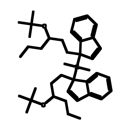 CCCC(CCC1([Si](C)(C)C2(CCC(CCC)OC(C)(C)C)C=Cc3ccccc32)C=Cc2ccccc21)OC(C)(C)C